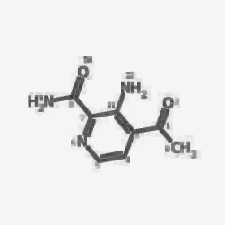 CC(=O)c1ccnc(C(N)=O)c1N